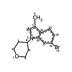 Cc1nn(C2CCOCC2)c2cc(Br)ccc12